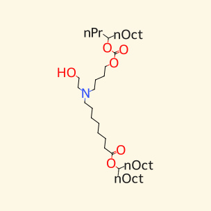 CCCCCCCCC(CCCCCCCC)OC(=O)CCCCCCCN(CCO)CCCCOC(=O)OC(CCC)CCCCCCCC